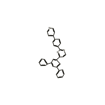 c1ccc(-c2cc(-c3ccccc3)cc(-c3ccnc(-c4ccc(-c5ccncc5)cc4)n3)c2)cc1